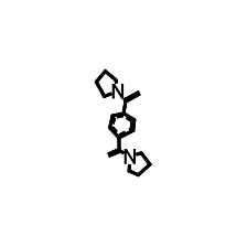 C=C(c1ccc(C(=C)N2CCCC2)cc1)N1CCCC1